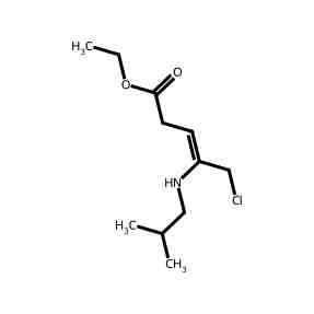 CCOC(=O)CC=C(CCl)NCC(C)C